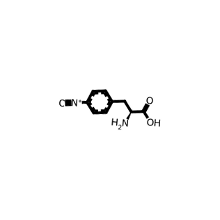 [C-]#[N+]c1ccc(C[C@H](N)C(=O)O)cc1